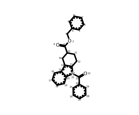 O=C(OCc1ccccc1)C1CCc2c(c3ccccc3n2C(=O)c2ccccc2)C1